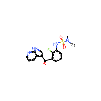 CCN(C)S(=O)(=O)Nc1cccc(C(=O)c2c[nH]c3ncccc23)c1F